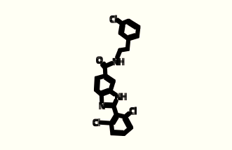 O=C(NCCc1cccc(Cl)c1)c1ccc2nc(-c3c(Cl)cccc3Cl)[nH]c2c1